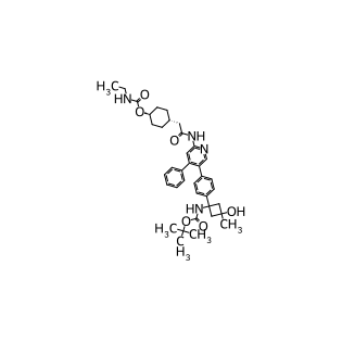 CCNC(=O)O[C@H]1CC[C@H](CC(=O)Nc2cc(-c3ccccc3)c(-c3ccc(C4(NC(=O)OC(C)(C)C)CC(C)(O)C4)cc3)cn2)CC1